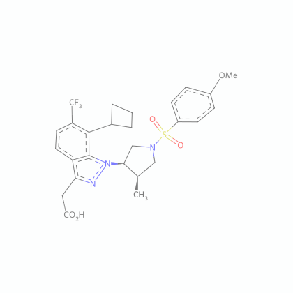 COc1ccc(S(=O)(=O)N2C[C@@H](C)[C@@H](n3nc(CC(=O)O)c4ccc(C(F)(F)F)c(C5CCC5)c43)C2)cc1